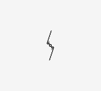 CCCCCCCCCCCCc1ccc(-c2ccc(-c3ccc(CCCCCCCCCCCC)s3)cc2)s1